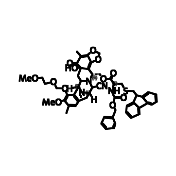 COCCOCOc1c(OC)c(C)cc2c1[C@@H]1C3CC4(O)C(=O)C(C)=C5OCOC5=C4[C@H](COC(=O)[C@@H](CSCC4c5ccccc5-c5ccccc54)NC(=O)OCc4ccccc4)N3C(C#N)[C@H](C2)N1C